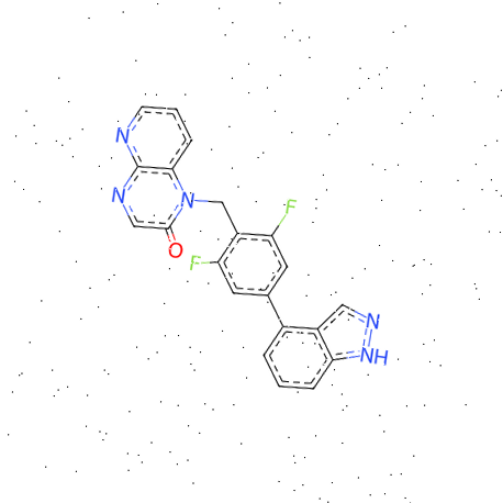 O=c1cnc2ncccc2n1Cc1c(F)cc(-c2cccc3[nH]ncc23)cc1F